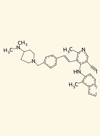 Cc1ncc(C#N)c(Nc2ccc3[nH]ccc3c2C)c1/C=C/c1ccc(CN2CCC(N(C)C)CC2)cc1